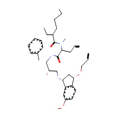 C=CCO[C@@H]1C[C@H](NC[C@@H](O)[C@H](Cc2ccccc2)NC(=O)C(CC=C)N(C)C(=O)C(CC)CCCC)c2cc(OC)ccc21